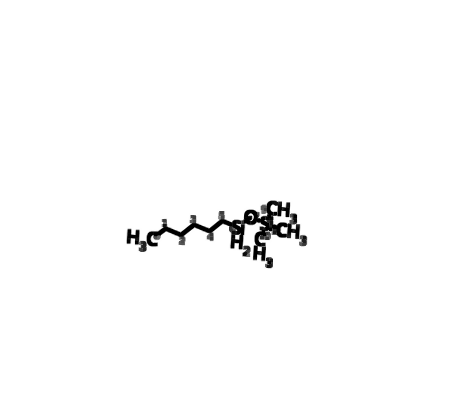 CCCCCC[SiH2]O[Si](C)(C)C